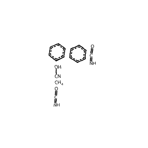 C.N#CO.N=C=O.N=C=O.c1ccccc1.c1ccccc1